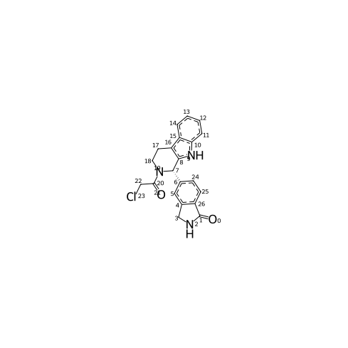 O=C1NCc2cc([C@H]3c4[nH]c5ccccc5c4CCN3C(=O)CCl)ccc21